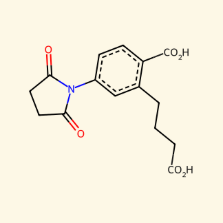 O=C(O)CCCc1cc(N2C(=O)CCC2=O)ccc1C(=O)O